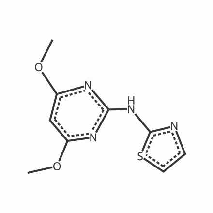 COc1cc(OC)nc(Nc2nccs2)n1